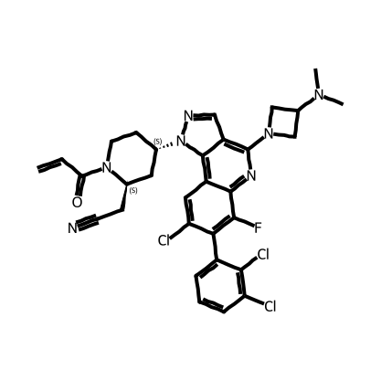 C=CC(=O)N1CC[C@H](n2ncc3c(N4CC(N(C)C)C4)nc4c(F)c(-c5cccc(Cl)c5Cl)c(Cl)cc4c32)C[C@H]1CC#N